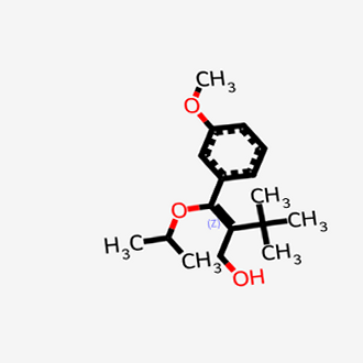 COc1cccc(/C(OC(C)C)=C(/CO)C(C)(C)C)c1